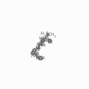 CN(C)CC[C@H](CSc1ccccc1)Nc1ncc(S(=O)(=O)NC(=O)c2csc(N3CCc4cccc(C(=O)Nc5nc6ccc(F)cc6s5)c4C3)n2)cc1[N+](=O)[O-]